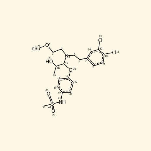 CCCCOCCN(CCc1ccc(Cl)c(Cl)c1)C(Oc1ccc(NS(C)(=O)=O)cc1)C(C)O